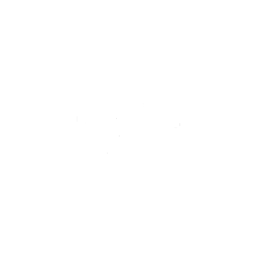 CCC(C)CC(=O)O[SiH3]